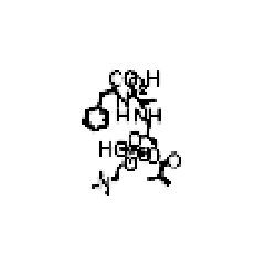 C=C(C)C(=O)OCC(CNC(C)C(=O)NC(Cc1ccccc1)C(=O)O)OP(=O)(O)OCC[N+](C)(C)C